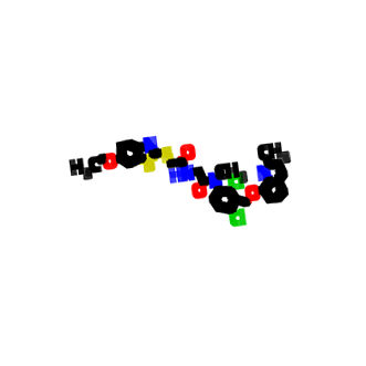 CCOc1ccc2nc(SCC(=O)NCC(=O)N(C)c3ccc(Cl)c(COc4cccc5ccc(C)nc45)c3Cl)sc2c1